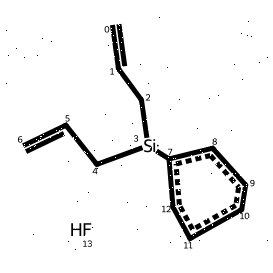 C=CC[Si](CC=C)c1ccccc1.F